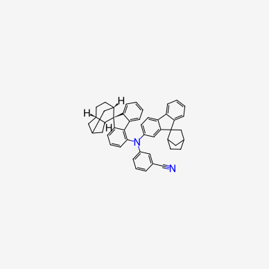 N#Cc1cccc(N(c2ccc3c(c2)C2(CC4CCC2C4)c2ccccc2-3)c2cccc3c2-c2ccccc2[C@@]32[C@H]3CC[C@H]4CC(C3)C[C@@H]42)c1